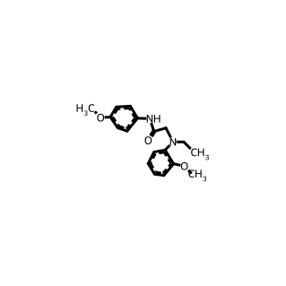 CCN(CC(=O)Nc1ccc(OC)cc1)c1ccccc1OC